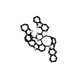 c1ccc2cc3c(cc2c1)sc1ccc2c(c13)C1N=C(c3cccc4c3oc3ccccc34)N=C(c3cccc4c3sc3ccccc34)C1Cc1ccc3c4cc5ccccc5cc4n-2c3c1